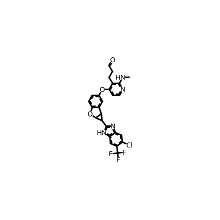 CNc1nccc(Oc2ccc3c(c2)C2C(O3)C2c2nc3cc(Cl)c(C(F)(F)F)cc3[nH]2)c1CCC=O